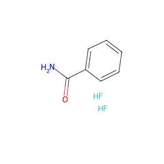 F.F.NC(=O)c1ccccc1